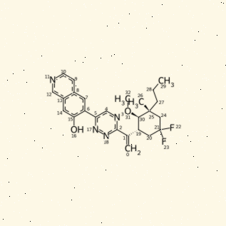 C=C(c1ncc(-c2cc3ccncc3cc2O)nn1)[C@H]1CC(F)(F)C[C@@](C)(CCC)[C@@H]1OC